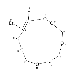 CC/C1=C(\CC)OCCOCCOCCO1